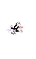 C=CCC(C)(C(N)=O)C(CO)C(C)C